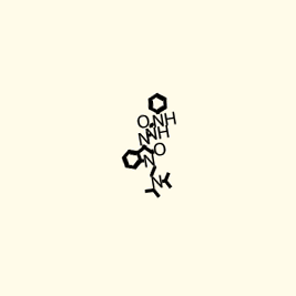 CC(C)N(CCN1C(=O)C(=NNC(=O)Nc2ccccc2)c2ccccc21)C(C)C